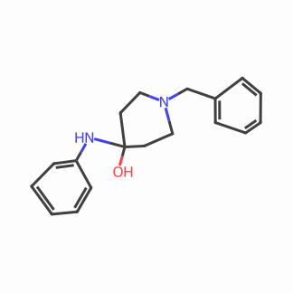 OC1(Nc2ccccc2)CCN(Cc2ccccc2)CC1